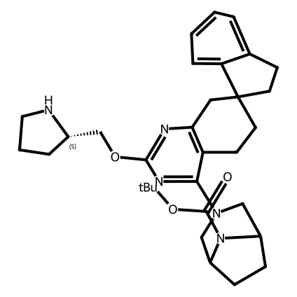 CC(C)(C)OC(=O)N1C2CCC1CN(c1nc(OC[C@@H]3CCCN3)nc3c1CCC1(CCc4ccccc41)C3)C2